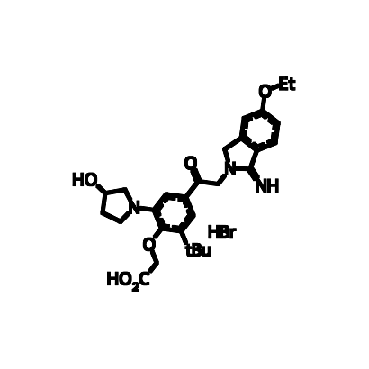 Br.CCOc1ccc2c(c1)CN(CC(=O)c1cc(N3CCC(O)C3)c(OCC(=O)O)c(C(C)(C)C)c1)C2=N